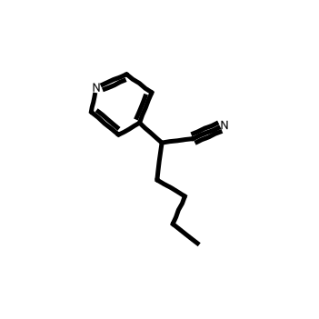 CCCCC(C#N)c1ccncc1